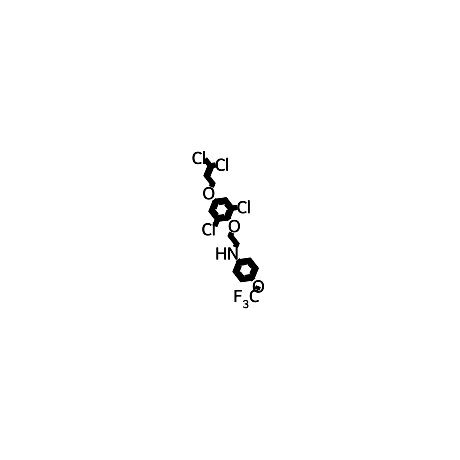 FC(F)(F)Oc1ccc(NCCOc2c(Cl)cc(OCC=C(Cl)Cl)cc2Cl)cc1